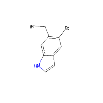 CCc1cc2cc[nH]c2cc1CC(C)C